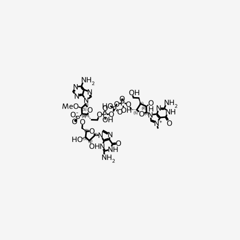 CO[C@@H]1[C@H](P(=O)([O-])OC[C@H]2O[C@@H](n3cnc4c(=O)[nH]c(N)nc43)[C@H](O)[C@@H]2O)[C@@H](CCOP(=O)(O)OP(=O)(O)OP(=O)(O)OC[C@H]2O[C@@H](n3c[n+](C)c4c(=O)[nH]c(N)nc43)[C@H](O)[C@@H]2CCO)O[C@H]1n1cnc2c(N)ncnc21